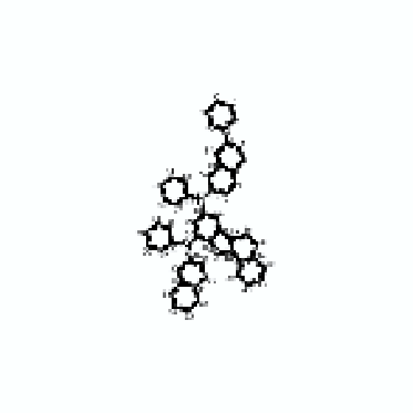 c1ccc(-c2ccc3ccc(N(c4ccccc4)c4cc(N(c5ccccc5)c5ccc6ccccc6c5)c5sc6c7ccccc7ccc6c5c4)cc3c2)cc1